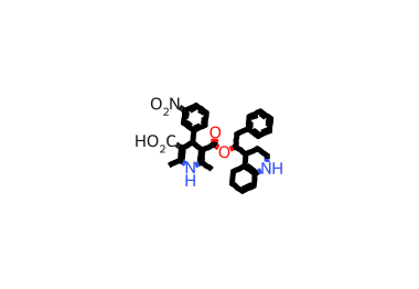 CC1=C(C(=O)O)C(c2cccc([N+](=O)[O-])c2)C(C(=O)OC(Cc2ccccc2)C2CCNC3=C2CCC=C3)=C(C)N1